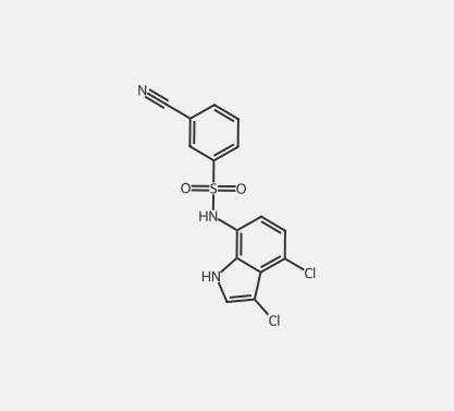 N#Cc1cccc(S(=O)(=O)Nc2ccc(Cl)c3c(Cl)c[nH]c23)c1